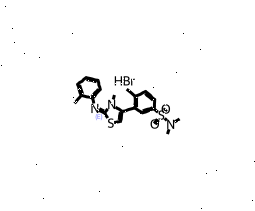 Br.Cc1ccccc1/N=c1/scc(-c2cc(S(=O)(=O)N(C)C)ccc2C)n1C